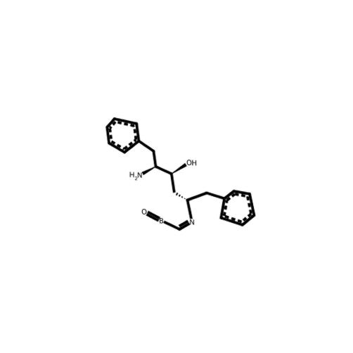 N[C@@H](Cc1ccccc1)[C@@H](O)C[C@H](Cc1ccccc1)/N=C\B=O